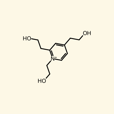 OCCc1cc[n+](CCO)c(CCO)c1